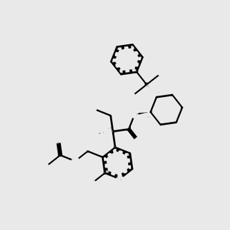 CC[C@@](O)(C(=O)O[C@@H]1CCCC[C@H]1C(C)(C)c1ccccc1)c1ccnc(F)c1COC(C)=O